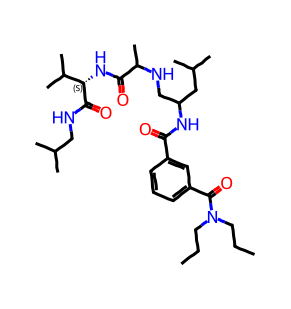 CCCN(CCC)C(=O)c1cccc(C(=O)NC(CNC(C)C(=O)N[C@H](C(=O)NCC(C)C)C(C)C)CC(C)C)c1